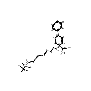 CC(C)(C)[Si](C)(C)OCCCCCCOC1(C(=O)O)C=CC(c2ccccc2)C=C1